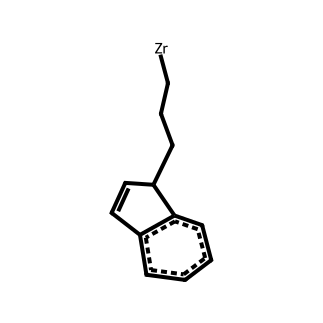 [Zr][CH2]CCC1C=Cc2ccccc21